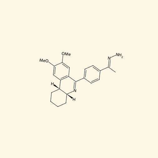 COc1cc2c(cc1OC)[C@H]1CCCC[C@H]1N=C2c1ccc(C(C)=NN)cc1